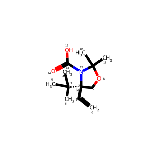 C=C[C@]1(C(C)(C)C)COC(C)(C)N1C(=O)O